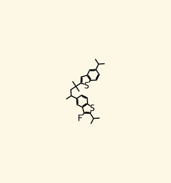 CC(C)c1ccc2sc(C(C)(C)CC(C)c3ccc4sc(C(C)C)c(F)c4c3)cc2c1